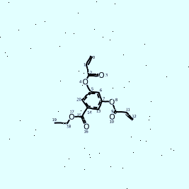 C=CC(=O)Oc1cc(OC(=O)C=C)cc(C(=O)OCC)c1